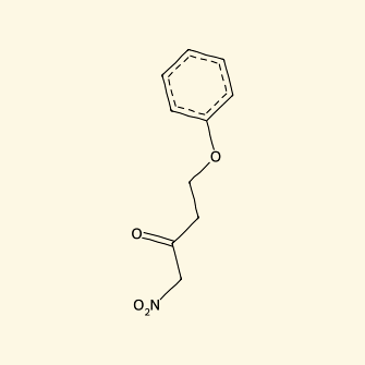 O=C(CCOc1ccccc1)C[N+](=O)[O-]